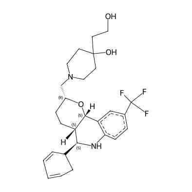 OCCC1(O)CCN(C[C@H]2CC[C@@H]3[C@H](O2)c2cc(C(F)(F)F)ccc2N[C@H]3C2C=CC=CC2)CC1